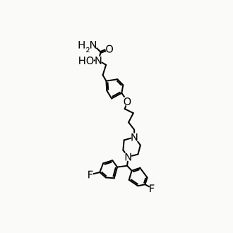 NC(=O)N(O)CCc1ccc(OCCCCN2CCN(C(c3ccc(F)cc3)c3ccc(F)cc3)CC2)cc1